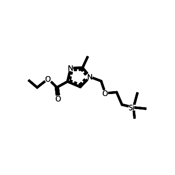 CCOC(=O)c1cn(COCC[Si](C)(C)C)c(C)n1